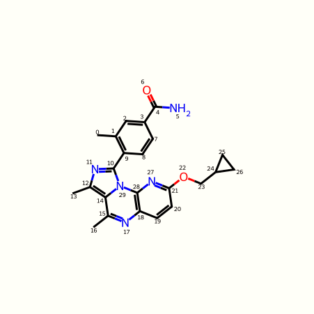 Cc1cc(C(N)=O)ccc1-c1nc(C)c2c(C)nc3ccc(OCC4CC4)nc3n12